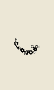 N#Cc1ccc(O[C@H]2CC[C@H](c3cnc(-c4ccc(N5CC(CN6CCNCC6)C5)cc4)[nH]3)CC2)cc1Cl